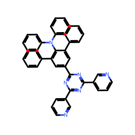 c1ccc(-c2cc(-c3nc(-c4cccnc4)nc(-c4cccnc4)n3)cc(-c3ccccc3)c2N(c2ccccc2)c2ccccc2)cc1